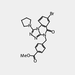 COC(=O)c1ccc(Cn2c(=O)c3cc(Br)ccc3n3c(N4CCCC4)nnc23)cc1